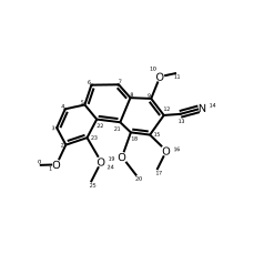 COc1ccc2ccc3c(OC)c(C#N)c(OC)c(OC)c3c2c1OC